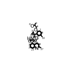 COC(C)COc1ccc(C)cc1C1(C(=O)NS(=O)(=O)c2cccc3nc(C)ccc23)CC1